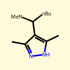 CCCCC(NC)c1c(C)n[nH]c1C